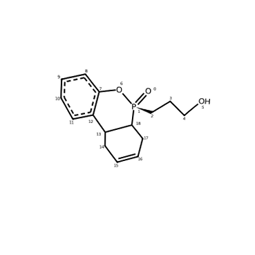 O=[P@@]1(CCCO)Oc2ccccc2C2CC=CCC21